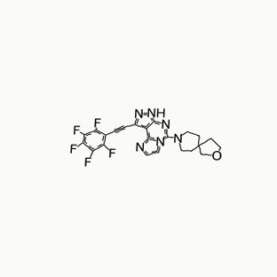 Fc1c(F)c(F)c(C#Cc2n[nH]c3nc(N4CCC5(CCOC5)CC4)n4ccnc4c23)c(F)c1F